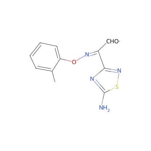 Cc1ccccc1O/N=C(/[C]=O)c1nsc(N)n1